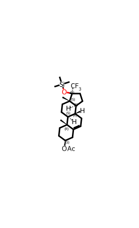 CC(=O)O[C@H]1CC[C@@]2(C)C(=CC[C@@H]3[C@@H]2CC[C@@]2(C)[C@H]3CC[C@@]2(O[Si](C)(C)C)C(F)(F)F)C1